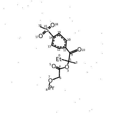 CCC(C)(OC(=O)COC(C)C)C(=O)c1ccc(S(C)(=O)=O)cc1